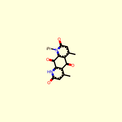 Cc1cc(=O)[nH]c2c1C(=O)c1c(C)cc(=O)n(C(C)C)c1C2=O